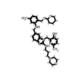 Cc1ccc(COC2CCCCO2)c(NCc2ccc3nc(NCCCN4CCOCC4)n(Cc4nc(C)ccc4O)c3c2)c1